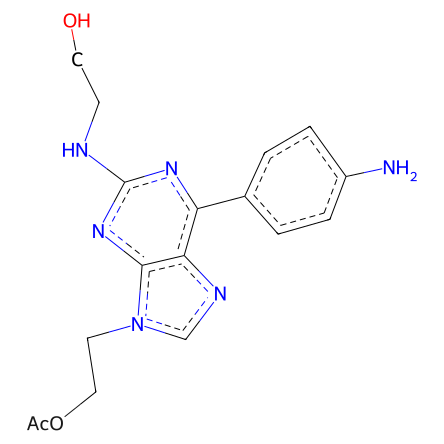 CC(=O)OCCn1cnc2c(-c3ccc(N)cc3)nc(NCCO)nc21